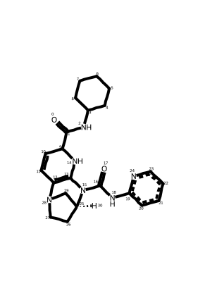 O=C(NC1CCCCC1)C1C=CC2=C(N1)N(C(=O)Nc1ccccn1)[C@H]1CCN2C1